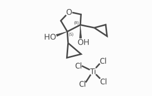 O[C@@]1(C2CC2)COC[C@]1(O)C1CC1.[Cl][Ti]([Cl])([Cl])[Cl]